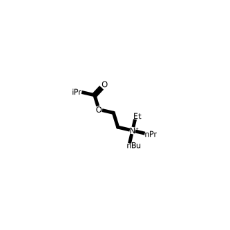 CCCC[N+](CC)(CCC)CCOC(=O)C(C)C